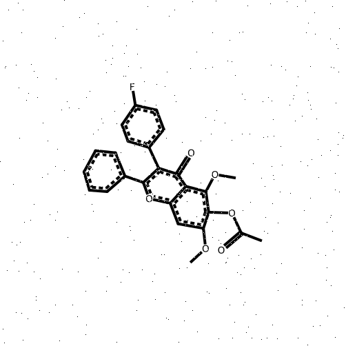 COc1cc2oc(-c3ccccc3)c(-c3ccc(F)cc3)c(=O)c2c(OC)c1OC(C)=O